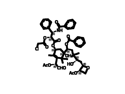 CC(=O)O[C@@H](C=O)C1=C(C)[C@@H](OC(=O)[C@H](OC(=O)CCl)[C@@H](NC(=O)c2ccccc2)c2ccccc2)C[C@@](O)([C@H](CC(C)(C)[C@@H](O)C[C@H]2OC[C@@H]2OC(C)=O)OC(=O)c2ccccc2)C1(C)C